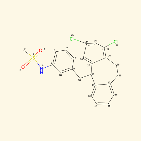 CS(=O)(=O)Nc1cccc(CC2c3ccccc3CCc3c(Cl)cc(Cl)cc32)c1